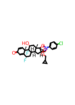 C[C@]12C=CC(=O)C=C1[C@@H](F)C[C@H]1[C@@H]3C[C@H]4CN(c5ccc(Cl)cc5)O[C@@]4(C(=O)OCC4CC4)[C@@]3(C)C[C@H](O)[C@@]12F